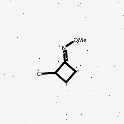 CON=C1C[CH]C1Cl